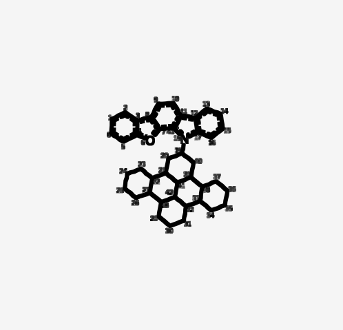 c1ccc2c(c1)oc1c2ccc2c3ccccc3n(C3CC4C5CCCCC5C5CCCC6C7CCCCC7C(C3)C4C56)c21